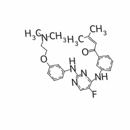 CC(C)=CC(=O)c1cccc(Nc2nc(Nc3cccc(OCCN(C)C)c3)ncc2F)c1